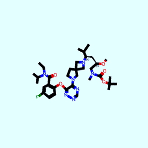 CCN(C(=O)c1cc(F)ccc1Oc1nncnc1N1CCC2(C1)CN([C@H](C[C@H](CN(C)C(=O)OC(C)(C)C)OC)C(C)C)C2)C(C)C